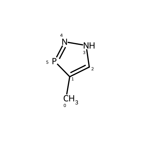 Cc1c[nH]np1